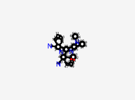 N#Cc1cc2c(c3c1C1CC4CC5CC3CC45C1)c1cc3c4cc5c(cc4n(-c4ccccc4)c3c3c4c6c(c(C#N)cc4n2c13)C1CC2CC3CC6CC23C1)c1ccccc1n5-c1ccccc1